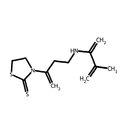 C=C(C)C(=C)NCCC(=C)N1CCSC1=S